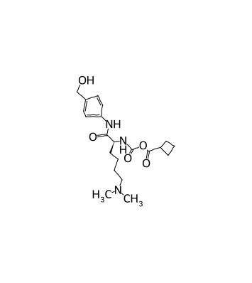 CN(C)CCCC[C@H](NC(=O)OC(=O)C1CCC1)C(=O)Nc1ccc(CO)cc1